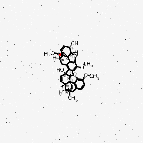 COc1ccc2c3c1O[C@@H]1[C@]34CCN(C)[C@H](C2)[C@@H]4C=C[C@@]1(O)c1cc(OC)c2c3c1C[C@@H]1[C@@H]4C=C[C@H](O)[C@H](O2)[C@]34CCN1C